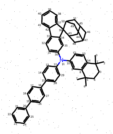 CC1(C)CCC(C)(C)c2cc(N(c3ccc(-c4ccc(-c5ccccc5)cc4)cc3)c3ccc4c(c3)C3(c5ccccc5-4)C4CC5CC(C4)CC3C5)ccc21